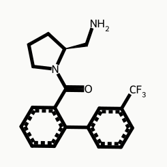 NC[C@@H]1CCCN1C(=O)c1ccccc1-c1cccc(C(F)(F)F)c1